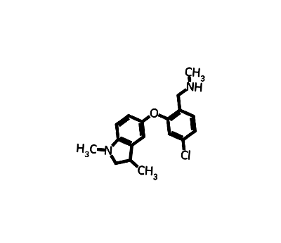 CNCc1ccc(Cl)cc1Oc1ccc2c(c1)C(C)CN2C